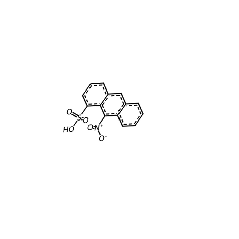 O=[N+]([O-])c1c2ccccc2cc2cccc(S(=O)(=O)O)c12